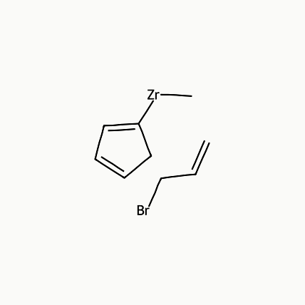 C=CCBr.[CH3][Zr][C]1=CC=CC1